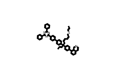 C/C=C/SC/C=C\C=C/CC(/C=C/C)(c1ccc(-c2ccc(-c3nc(-c4ccccc4)nc(-c4ccccc4)n3)cc2)cc1)c1ccc(-c2cccc3ccncc23)cc1